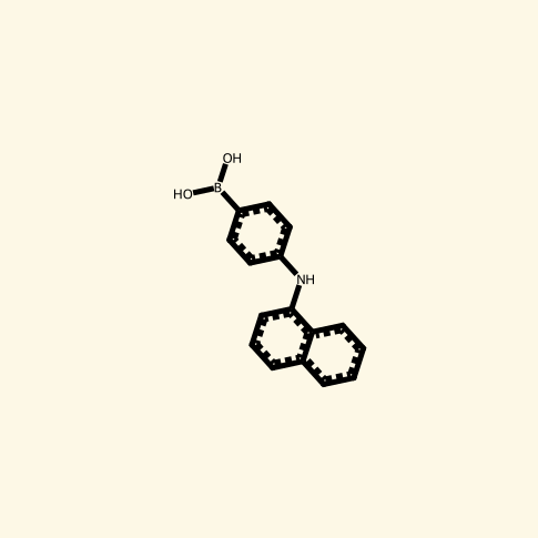 OB(O)c1ccc(Nc2cccc3ccccc23)cc1